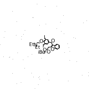 CC[C@@H](C)OC(=O)Cc1oc2ccccc2c1C(=O)c1cc(I)c(OCCN(CC)CC)c(I)c1